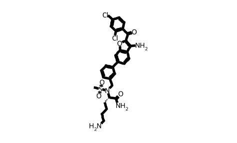 CS(=O)(=O)N(Cc1cccc(-c2ccc3c(N)c(C(=O)c4ccc(Cl)cc4Cl)oc3c2)c1)[C@@H](CCCCN)C(N)=O